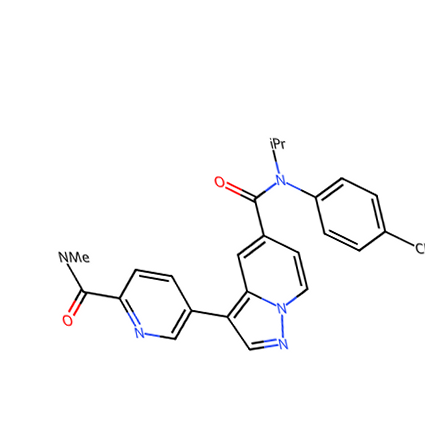 CNC(=O)c1ccc(-c2cnn3ccc(C(=O)N(c4ccc(C#N)cc4)C(C)C)cc23)cn1